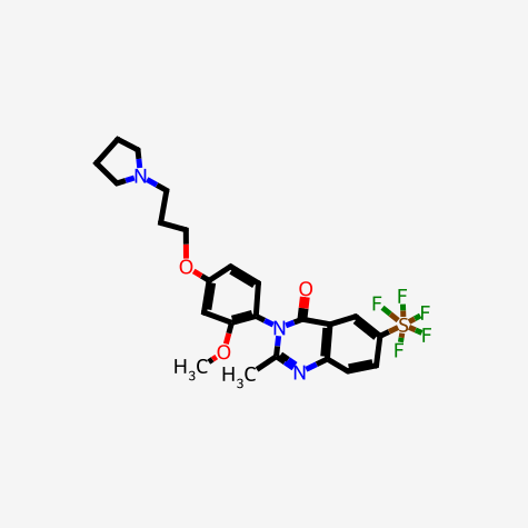 COc1cc(OCCCN2CCCC2)ccc1-n1c(C)nc2ccc(S(F)(F)(F)(F)F)cc2c1=O